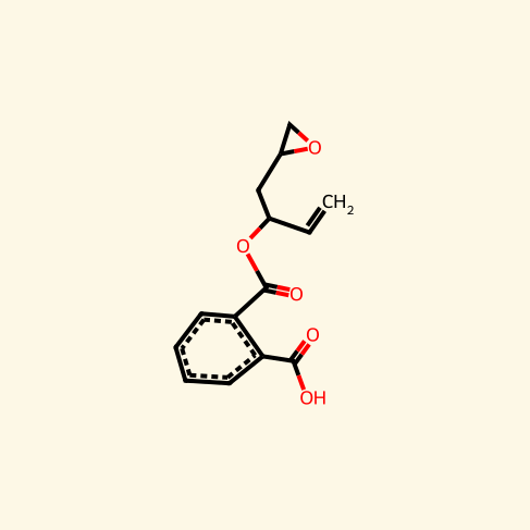 C=CC(CC1CO1)OC(=O)c1ccccc1C(=O)O